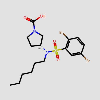 CCCCCCN([C@@H]1CCN(C(=O)O)C1)S(=O)(=O)c1cc(Br)ccc1Br